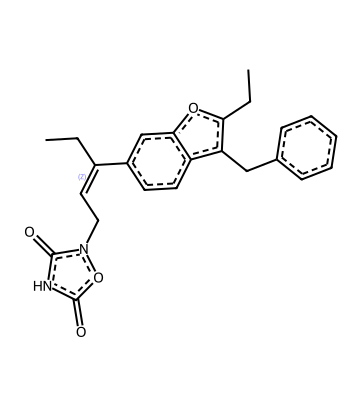 CC/C(=C/Cn1oc(=O)[nH]c1=O)c1ccc2c(Cc3ccccc3)c(CC)oc2c1